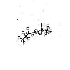 FC(F)C(F)(F)C(F)SOONC(F)(F)F